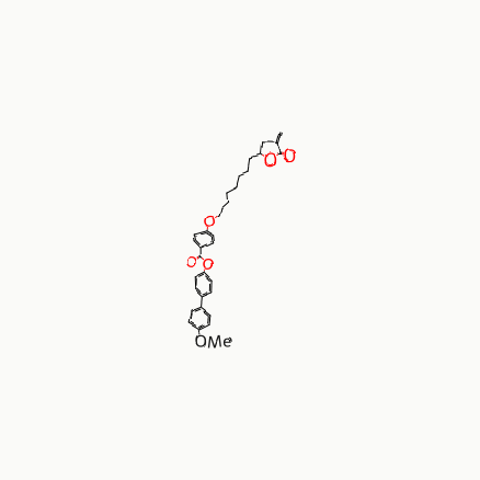 C=C1CC(CCCCCCCCOc2ccc(C(=O)Oc3ccc(-c4ccc(OC)cc4)cc3)cc2)OC1=O